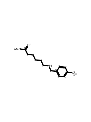 COC(=O)CCCCCNCc1ccc(C(F)(F)F)cc1